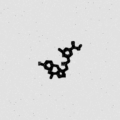 C=C(C)c1cnc(CNCc2cc(C(=O)OC)cc(C)n2)n1Cc1ccc(F)cc1